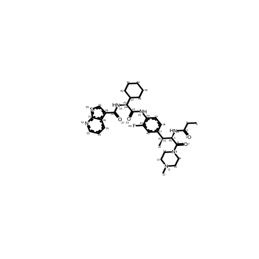 CCC(=O)N[C@@H](C(=O)N1CCN(C)CC1)[C@@H](C)c1ccc(NC(=O)[C@@H](NC(=O)c2csc3ncccc23)C2CCCCC2)c(F)c1